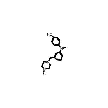 CCN1CCN(Cc2cccc(N(C)c3ccc(O)cc3)c2)CC1